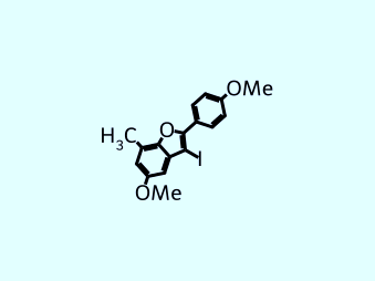 COc1ccc(-c2oc3c(C)cc(OC)cc3c2I)cc1